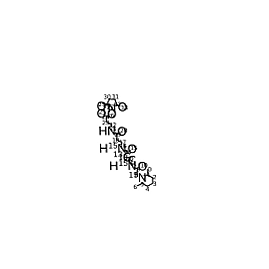 CC1CCCC(C)[15N]1CC(=O)[15NH][13CH2][13CH2]C(=O)[15NH]CCC(=O)NCCC(=O)ON1C(=O)CCC1=O